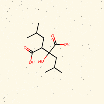 CC(C)CC(C(=O)O)C(O)(CC(C)C)C(=O)O